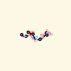 Cn1nc(C(=O)NCc2ccc(CNCC(O)c3ccc(O)c4[nH]c(=O)ccc34)cc2)cc1-c1cccc(C(O)(C(=O)OCC2CCN(Cc3ccccc3)CC2)c2ccccc2)c1